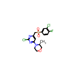 C[C@H]1COCCN1c1cc(CS(=O)(=O)c2ccc(F)c(Cl)c2)nc(Cl)n1